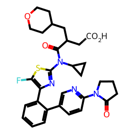 O=C(O)CC(CC1CCOCC1)C(=O)N(c1nc(-c2ccccc2-c2ccc(N3CCCC3=O)nc2)c(F)s1)C1CC1